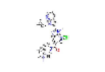 Cl.Cn1c(-c2cc3cccnc3n2CC2CC2)nc2cc(C(=O)N3CC[C@@H]4CCN[C@@H]4C3)cnc21